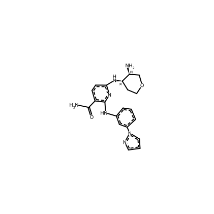 NC(=O)c1ccc(N[C@@H]2CCOC[C@@H]2N)nc1Nc1cccc(-n2cccn2)c1